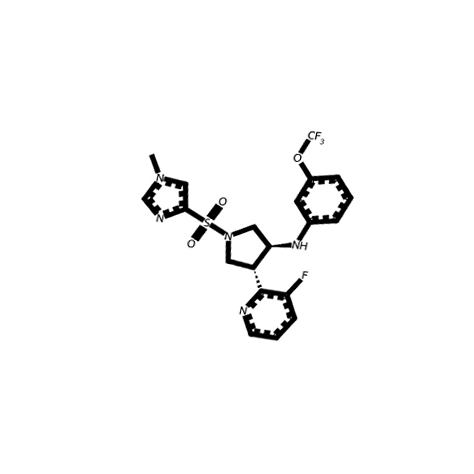 Cn1cnc(S(=O)(=O)N2C[C@@H](Nc3cccc(OC(F)(F)F)c3)[C@H](c3ncccc3F)C2)c1